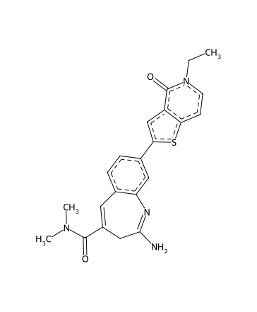 CCn1ccc2sc(-c3ccc4c(c3)N=C(N)CC(C(=O)N(C)C)=C4)cc2c1=O